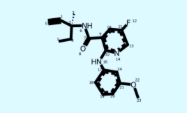 C#C[C@](C)(CC)NC(=O)c1cc(F)cnc1Nc1cccc(OC)c1